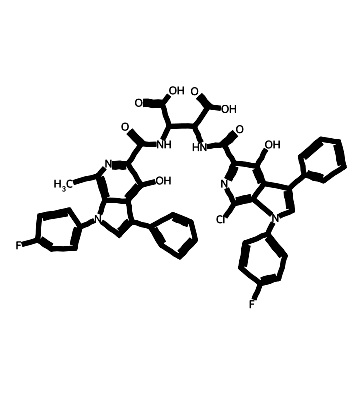 Cc1nc(C(=O)NC(C(=O)O)C(NC(=O)c2nc(Cl)c3c(c(-c4ccccc4)cn3-c3ccc(F)cc3)c2O)C(=O)O)c(O)c2c(-c3ccccc3)cn(-c3ccc(F)cc3)c12